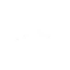 CS(=O)(=O)OC1CCC(N2CCNCC2)CC1